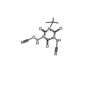 CC(C)(C)n1c(=O)n(BC#N)c(=O)n(BOC#N)c1=O